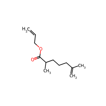 C=CCOC(=O)C(C)CCCC(=C)C